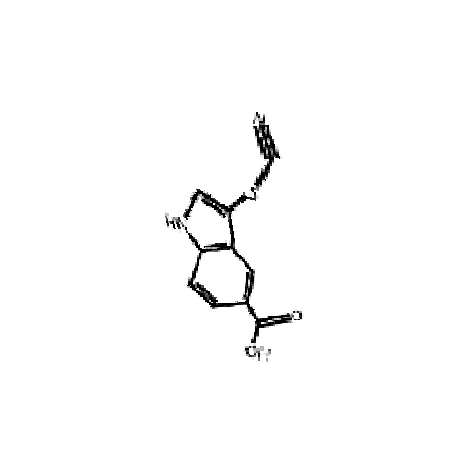 N#CSc1c[nH]c2ccc(C(=O)O)cc12